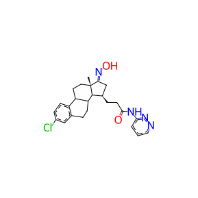 C[C@]12CCC3c4ccc(Cl)cc4CCC3C1[C@H](CCC(=O)Nc1cccnn1)C/C2=N\O